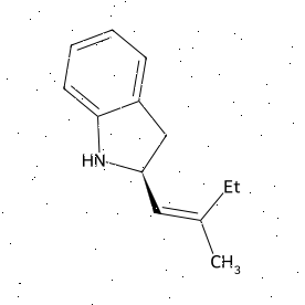 CC/C(C)=C\[C@@H]1Cc2ccccc2N1